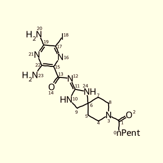 CCCCCC(=O)N1CCC2(CC1)CN/C(=N\C(=O)c1nc(I)c(N)nc1N)N2